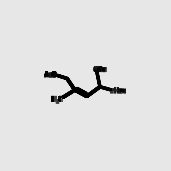 CCCCCCC(C=C(C)COC(C)=O)OC(C)=O